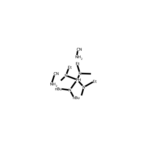 CCCCN(CCCC)[PH](N(C)CC)(N(C)CC)N(C)CC.N#CN.N#CN